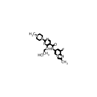 CCOc1nc(N2CCN(C)CC2)ncc1C(=O)Nc1cc(F)c2nc(C)cn2c1.Cl